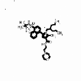 CCCC(CCC)Cn1c(-c2ccc(S(=O)(=O)NC(C)(C)C)c3ccccc23)cc(C(=O)NCCN2CCOCC2)c1C